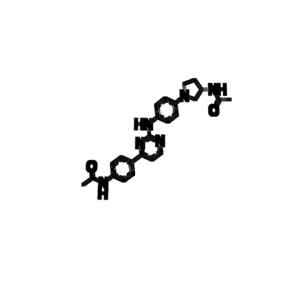 CC(=O)Nc1ccc(-c2ccnc(Nc3ccc(N4CCC(NC(C)=O)C4)cc3)n2)cc1